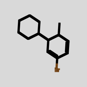 C[C]1C=CC(Br)=CC1C1CCCCC1